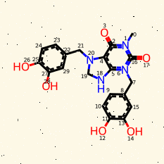 Cn1c(=O)c2c(n(Cc3ccc(O)c(O)c3)c1=O)NCN2Cc1ccc(O)c(O)c1